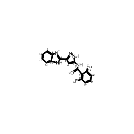 O=C(Nc1cc(-c2nc3ccccc3[nH]2)n[nH]1)c1c(F)cccc1F